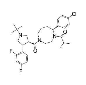 CC(C)C(=O)N1CCN(C(=O)[C@@H]2CN(C(C)(C)C)C[C@H]2c2ccc(F)cc2F)CCC[C@H]1c1ccc(Cl)cc1